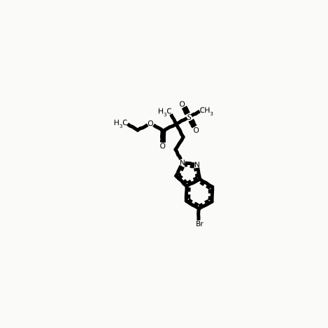 CCOC(=O)C(C)(CCn1cc2cc(Br)ccc2n1)S(C)(=O)=O